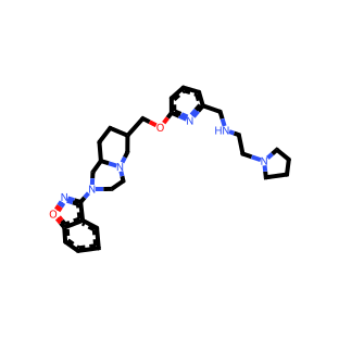 c1cc(CNCCN2CCCC2)nc(OCC2CCC3CN(c4noc5ccccc45)CCN3C2)c1